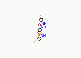 COc1ccc(NC(=O)Nc2ccc(C)c(S(=O)(=O)Nc3ccc(Cl)cc3)c2)cc1